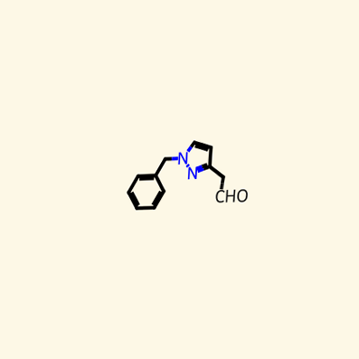 O=CCc1ccn(Cc2ccccc2)n1